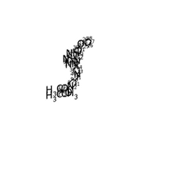 CC(C)(C)OC(=O)N1CCC(CN2CCC(n3nc(-c4ccc(Oc5ccccc5)cc4)c4c(N)ncnc43)CC2)CC1